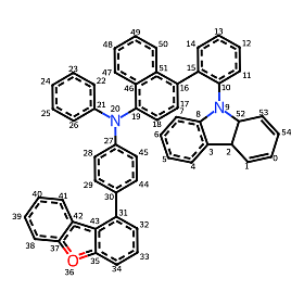 C1=CC2c3ccccc3N(c3ccccc3-c3ccc(N(c4ccccc4)c4ccc(-c5cccc6oc7ccccc7c56)cc4)c4ccccc34)C2C=C1